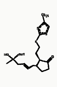 CCCCC[C@@](C)(O)C/C=C/[C@@H]1CCC(=O)[C@@H]1CCSc1nc(C(=O)O)cs1